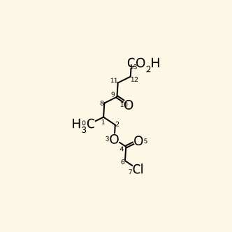 CC(COC(=O)CCl)CC(=O)CCC(=O)O